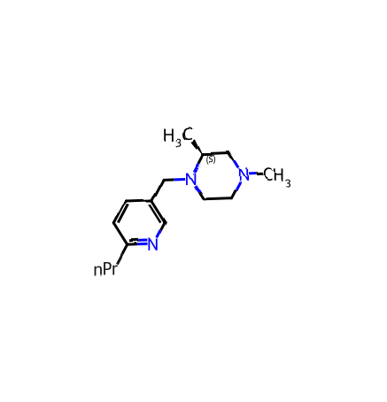 CCCc1ccc(CN2CCN(C)C[C@@H]2C)cn1